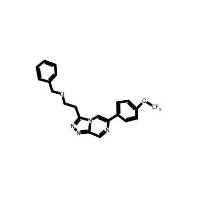 FC(F)(F)Oc1ccc(-c2cn3c(CCOCc4ccccc4)nnc3cn2)cc1